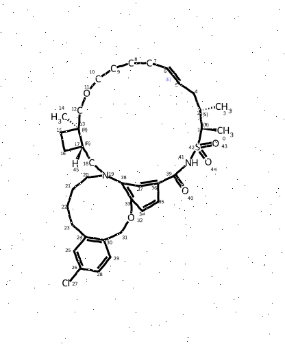 C[C@@H]1[C@@H](C)C/C=C/CCCCOC[C@]2(C)CC[C@H]2CN2CCCCc3cc(Cl)ccc3COc3ccc(cc32)C(=O)NS1(=O)=O